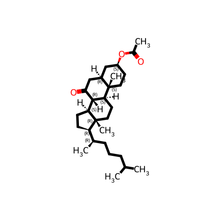 CC(=O)O[C@H]1CC[C@@]2(C)[C@@H](CC(=O)[C@@H]3[C@@H]2CC[C@]2(C)[C@@H]([C@H](C)CCCC(C)C)CC[C@@H]32)C1